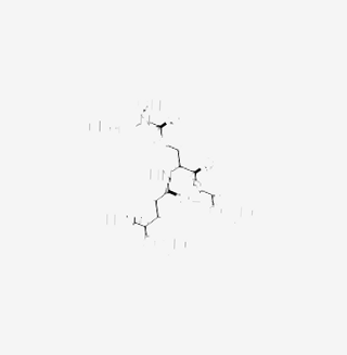 CCCCCN(O)C(=O)SCC(NC(=O)CCC(N)C(=O)OCC)C(=O)NCC(=O)OCC